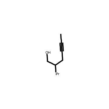 CC#CCC(CO)C(C)C